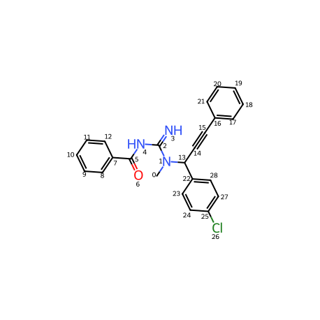 CN(C(=N)NC(=O)c1ccccc1)C(C#Cc1ccccc1)c1ccc(Cl)cc1